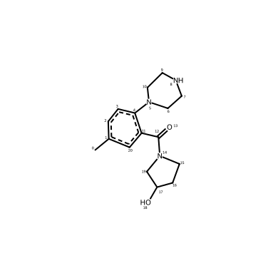 Cc1ccc(N2CCNCC2)c(C(=O)N2CCC(O)C2)c1